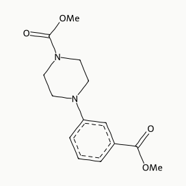 COC(=O)c1cccc(N2CCN(C(=O)OC)CC2)c1